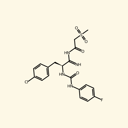 CS(=O)(=O)CC(=O)NC(=N)[C@H](Cc1ccc(Cl)cc1)NC(=O)Nc1ccc(F)cc1